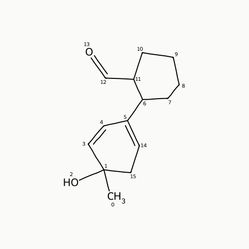 CC1(O)C=CC(C2CCCCC2C=O)=CC1